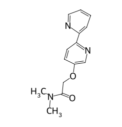 CN(C)C(=O)COc1ccc(-c2ccccn2)nc1